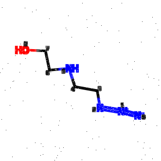 [N-]=[N+]=NCCNCCO